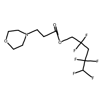 O=C(CCN1CCOCC1)OCC(F)(F)CC(F)(F)C(F)F